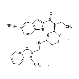 CCN(C(=O)c1cc2cc(C#N)ccc2[nH]1)[C@@H]1C=C(NCc2oc3ccccc3c2C)CCC1